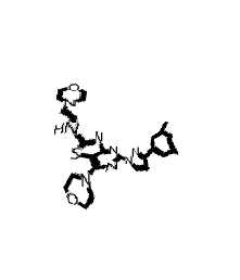 Cc1cccc(-c2ccn(-c3nc(N4CCOCC4)c4sc(NCCN5CCOCC5)nc4n3)n2)c1